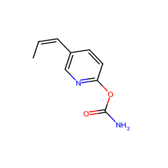 C/C=C\c1ccc(OC(N)=O)nc1